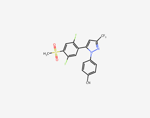 CS(=O)(=O)c1cc(F)c(-c2cc(C(F)(F)F)nn2-c2ccc(C#N)cc2)cc1F